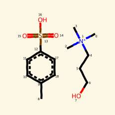 C[N+](C)(C)CCCO.Cc1ccc(S(=O)(=O)O)cc1